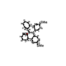 CSc1ncc(N(C(N)=O)c2cnc(SC)nc2-c2ccccc2)c(-c2ccccc2)n1